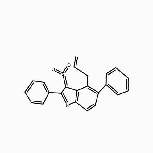 C=CCc1c(-c2ccccc2)ccc2c1C(=S(=O)=O)C(c1ccccc1)=N2